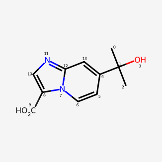 CC(C)(O)c1ccn2c(C(=O)O)cnc2c1